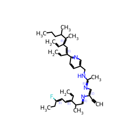 C#CC(=C/N=C(\C)NCc1ccc(/C(C=C)=C/C(C=C)=C(\C)C(C)CCC)nc1)/N=C/C(C)/C(C=C)=C/C=C(/F)CC